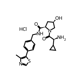 Cc1ncsc1-c1ccc(CNC(=O)[C@H]2C[C@@H](O)CN2C(=O)[C@@H](N)C2CC2)cc1.Cl